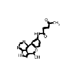 CC(=O)/C=C/C(=O)Nc1cccc(-c2ncnc3[nH]cc(C(=O)O)c23)c1